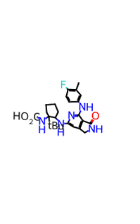 Cc1cc(Nc2nc(NC3CCCCC3(NC(=O)O)C(C)(C)C)cc3c2C(=O)NC3)ccc1F